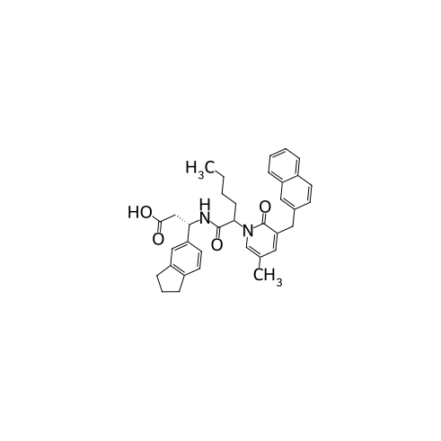 CCCCC(C(=O)N[C@@H](CC(=O)O)c1ccc2c(c1)CCC2)n1cc(C)cc(Cc2ccc3ccccc3c2)c1=O